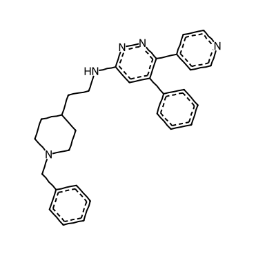 c1ccc(CN2CCC(CCNc3cc(-c4ccccc4)c(-c4ccncc4)nn3)CC2)cc1